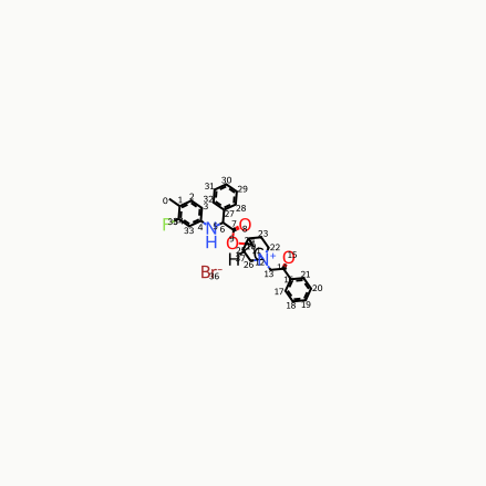 Cc1ccc(NC(C(=O)O[C@H]2C[N+]3(CC(=O)c4ccccc4)CCC2CC3)c2ccccc2)cc1F.[Br-]